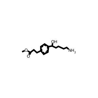 COC(=O)CCc1ccc(C(O)CCCCN)cc1